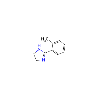 Cc1ccccc1C1=NCCN1